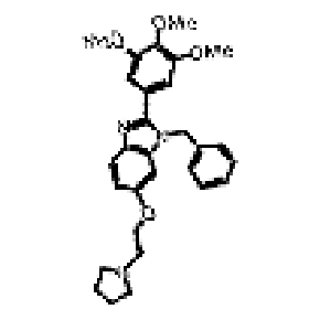 COc1cc(-c2nc3ccc(OCCN4CCCC4)cc3n2Cc2ccccc2)cc(OC)c1OC